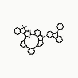 CC1(C)c2ccccc2-c2c1nc1nc2c2cccc(c2)c2ccccc2c2ccc3c(c2)c2c1cccc2n3-c1ccc2c(c1)c1ccccc1n2-c1ccccc1